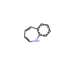 [C]1=CC=CNc2ccccc21